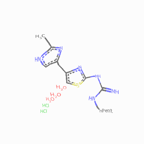 CCCCCNC(=N)Nc1nc(-c2c[nH]c(C)n2)cs1.Cl.Cl.O.O.O